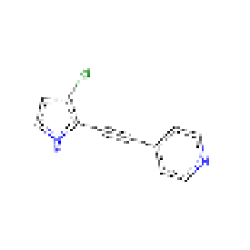 Clc1cc[nH]c1C#Cc1ccncc1